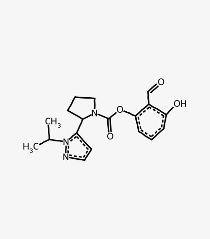 CC(C)n1nccc1C1CCCN1C(=O)Oc1cccc(O)c1C=O